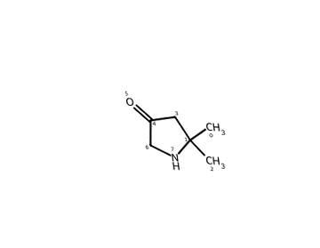 CC1(C)CC(=O)CN1